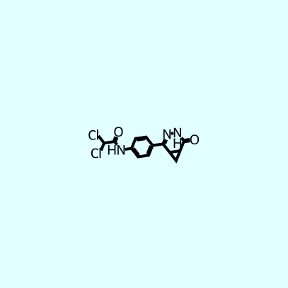 O=C(Nc1ccc(C2=NNC(=O)C3CC23)cc1)C(Cl)Cl